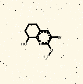 COc1nc2c(cc1Br)CCCC2O